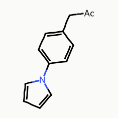 CC(=O)Cc1ccc(-n2cccc2)cc1